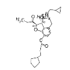 CCC(=O)[C@@H]1Oc2c(OC(=O)CCC3CCCC3)ccc3c2[C@@]12CCN(CC1CC1)C(C3)[C@@]2(C)O